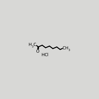 CCCCCCCC(C)=O.Cl